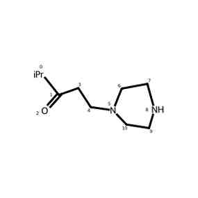 CC(C)C(=O)CCN1CCNCC1